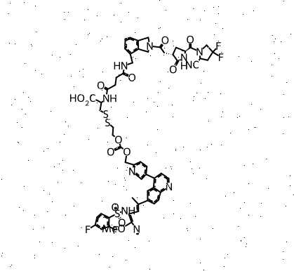 C=N/C(OC)=C(\C=C(/C)c1ccc2nccc(-c3ccc(COC(=O)OCCSSCC(NC(=O)CCC(=O)NCc4cccc5c4CN(C(=O)C[C@@H]4C[C@@H](C(=O)N6CC(F)(F)C[C@H]6C#N)NC4=O)C5)C(=O)O)nc3)c2c1)NS(=O)(=O)c1ccc(F)cc1F